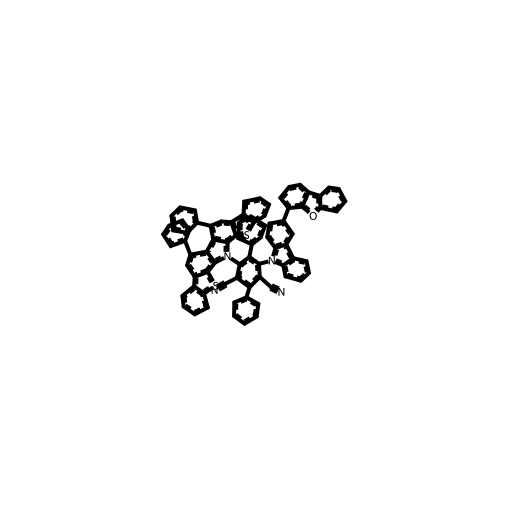 N#Cc1c(-c2ccccc2)c(C#N)c(-n2c3c4sc5ccccc5c4cc(-c4ccccc4)c3c3c(-c4ccccc4)cc4c5ccccc5sc4c32)c(-c2ccccc2)c1-n1c2ccccc2c2cc(-c3cccc4c3oc3ccccc34)ccc21